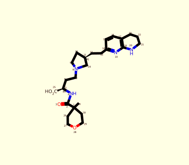 CC1(C(=O)N[C@H](CCN2CC[C@@H](CCc3ccc4c(n3)NCCC4)C2)C(=O)O)CCOCC1